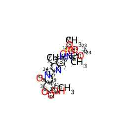 CCc1c2c(nc3ccc(OP(=O)(COC)NC(C)C(=O)OC4CC4)cc13)-c1cc3c(c(=O)n1C2)COC(=O)[C@]3(O)CC